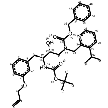 C=CCOc1cccc(C[C@H](NC(=O)OC(C)(C)C)[C@H](O)CN(Cc2ncccc2C(C)C)C(=O)OCc2ccccc2)c1